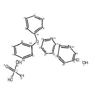 CCP(=O)(O)O.Cl.Cl.c1ccc(Oc2ccccc2)cc1.c1ccncc1.c1ccncc1